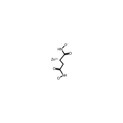 O=C(CCC(=O)N[O-])N[O-].[Zn+2]